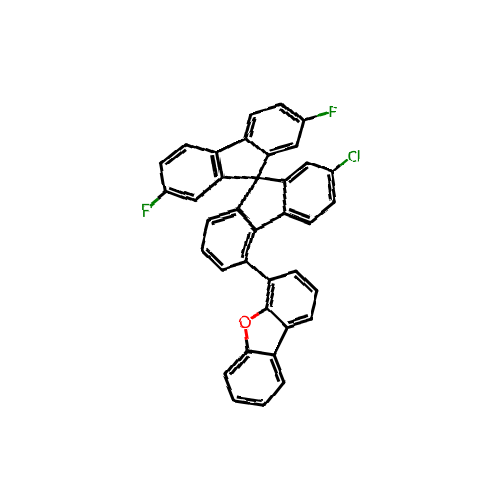 Fc1ccc2c(c1)C1(c3cc(F)ccc3-2)c2cc(Cl)ccc2-c2c(-c3cccc4c3oc3ccccc34)cccc21